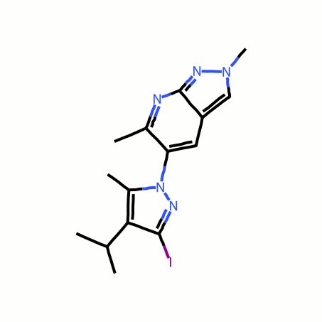 Cc1nc2nn(C)cc2cc1-n1nc(I)c(C(C)C)c1C